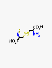 NC(CSSC[C@H](N=S)C(=O)O)C(=O)O